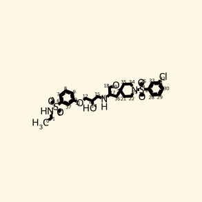 CCNS(=O)(=O)c1cccc(OCC(O)CNC2COC3(CCN(S(=O)(=O)c4cccc(Cl)c4)CC3)C2)c1